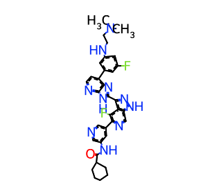 CN(C)CCNc1cc(F)cc(-c2ccnc3[nH]c(-c4n[nH]c5cnc(-c6cncc(NC(=O)C7CCCCC7)c6)c(F)c45)nc23)c1